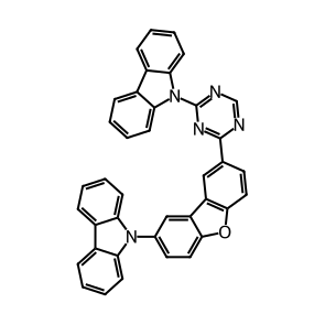 c1ccc2c(c1)c1ccccc1n2-c1ccc2oc3ccc(-c4ncnc(-n5c6ccccc6c6ccccc65)n4)cc3c2c1